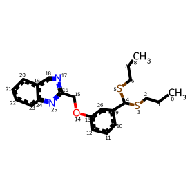 CCCSC(SCCC)c1cccc(OCc2ncc3ccccc3n2)c1